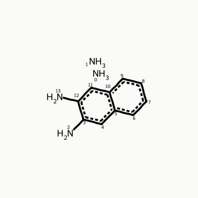 N.N.Nc1cc2ccccc2cc1N